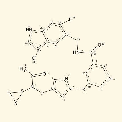 CC(=O)N(Cc1cnn(Cc2cncc(C(=O)NCc3cc4c(Cl)c[nH]c4cc3F)c2)c1)C1CC1